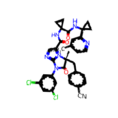 C[C@@]1(Cc2ccc(C#N)cc2)C(=O)N(c2cc(Cl)cc(Cl)c2)c2ncc(C(=O)NC3(C(=O)NC4(c5cc(C(=O)O)ccn5)CC4)CC3)n21